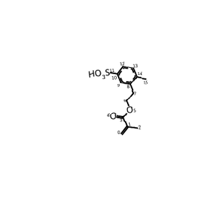 C=C(C)C(=O)OCCc1cc(S(=O)(=O)O)ccc1C